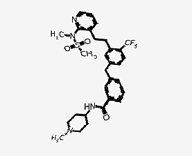 CN1CCC(NC(=O)c2cccc(Cc3ccc(C(F)(F)F)c(CCc4cccnc4N(C)S(C)(=O)=O)c3)c2)CC1